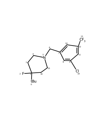 CC(C)(C)C1(F)CCN(Cc2cc(Cl)cc(C(F)(F)F)c2)CC1